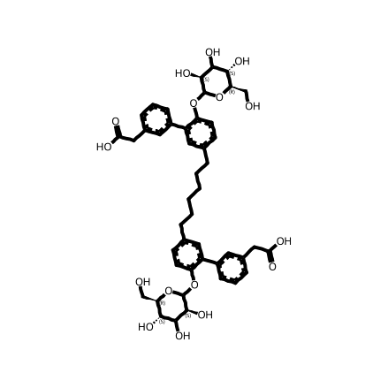 O=C(O)Cc1cccc(-c2cc(CCCCCCc3ccc(OC4O[C@H](CO)[C@@H](O)C(O)[C@@H]4O)c(-c4cccc(CC(=O)O)c4)c3)ccc2OC2O[C@H](CO)[C@@H](O)C(O)[C@@H]2O)c1